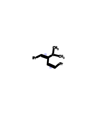 CC(C)/C=C\C(=C/C(C)C)N(C)C